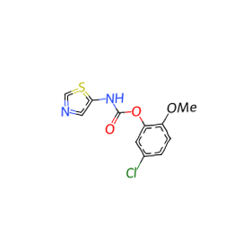 COc1ccc(Cl)cc1OC(=O)Nc1cncs1